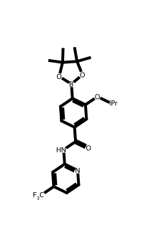 CC(C)Oc1cc(C(=O)Nc2cc(C(F)(F)F)ccn2)ccc1B1OC(C)(C)C(C)(C)O1